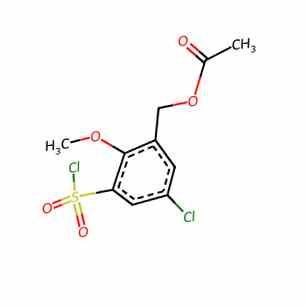 COc1c(COC(C)=O)cc(Cl)cc1S(=O)(=O)Cl